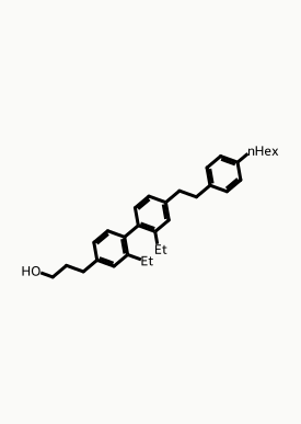 CCCCCCc1ccc(CCc2ccc(-c3ccc(CCCO)cc3CC)c(CC)c2)cc1